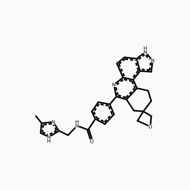 Cc1c[nH]c(CNC(=O)c2ccc(-c3nc4ccc5[nH]ncc5c4c4c3CC3(CC4)COC3)cc2)n1